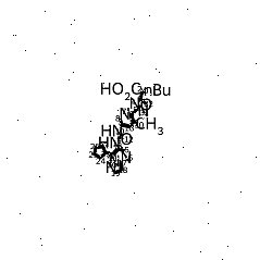 CCCCC(C(=O)O)c1nc(-c2ncc(NC(=O)Nc3cnc4ccnn4c3C3CCCC3)cc2C)no1